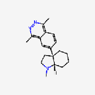 Cc1nnc(C)c2cc([C@@]34CCCC[C@@H]3N(C)CC4)ccc12